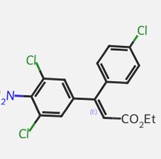 CCOC(=O)/C=C(\c1ccc(Cl)cc1)c1cc(Cl)c(N)c(Cl)c1